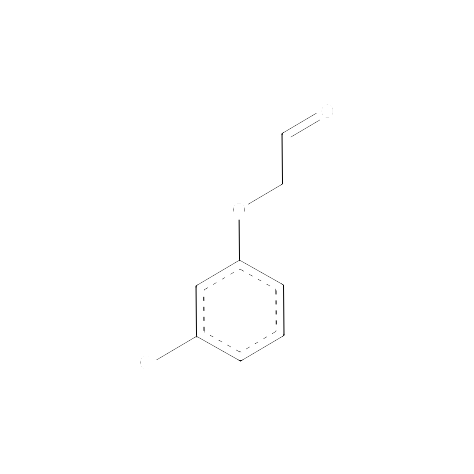 O=CCOc1cccc(Cl)c1